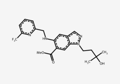 COC(=O)c1cc2c(cnn2CCC(C)(C)O)cc1NCc1cccc(C(F)(F)F)n1